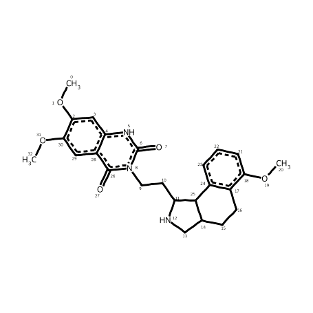 COc1cc2[nH]c(=O)n(CCC3NCC4CCc5c(OC)cccc5C43)c(=O)c2cc1OC